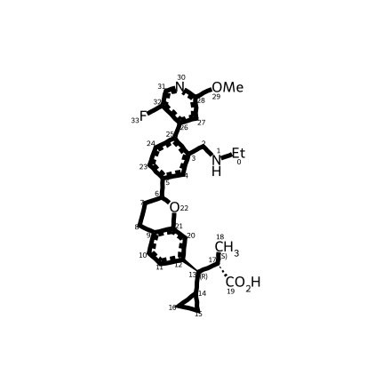 CCNCc1cc(C2CCc3ccc([C@H](C4CC4)[C@H](C)C(=O)O)cc3O2)ccc1-c1cc(OC)ncc1F